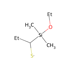 CCO[Si](C)(C)C([S])CC